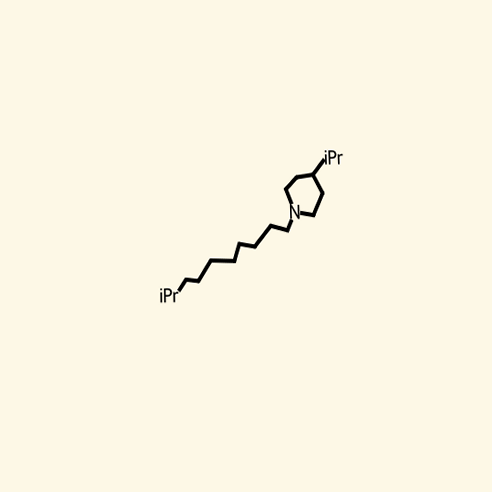 CC(C)CCCCCCCCN1CCC(C(C)C)CC1